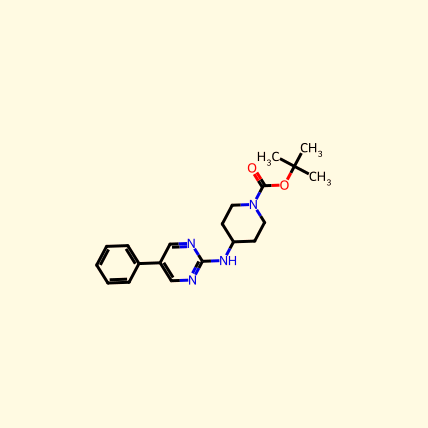 CC(C)(C)OC(=O)N1CCC(Nc2ncc(-c3ccccc3)cn2)CC1